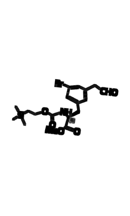 COC(=O)[C@H](Cc1cc(Br)cc(CC=O)c1)NC(=O)OCC[Si](C)(C)C